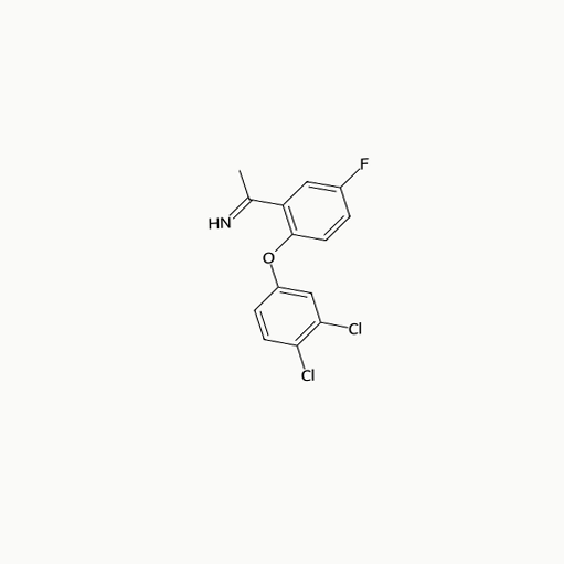 CC(=N)c1cc(F)ccc1Oc1ccc(Cl)c(Cl)c1